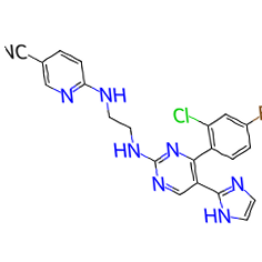 N#Cc1ccc(NCCNc2ncc(-c3ncc[nH]3)c(-c3ccc(Br)cc3Cl)n2)nc1